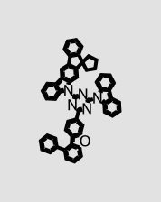 c1ccc(-c2cccc3oc4cc(-c5nc(-n6c7ccccc7c7ccccc76)nc(-n6c7ccccc7c7cc8c(cc76)C6(CCCC6)c6ccccc6-8)n5)ccc4c23)cc1